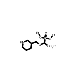 CCOC(=O)C(OCC1CCCNC1)P(=O)(OCC)OCC